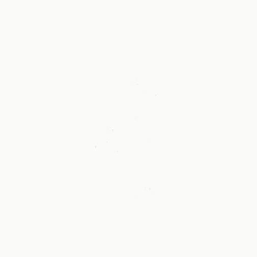 CCSc1ccc(C=C2C(C)=C(OC(C)=O)c3cc(OC)ccc32)cc1